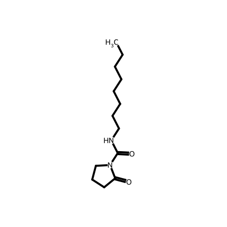 CCCCCCCCNC(=O)N1CCCC1=O